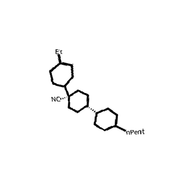 CCCCCC1CCC([C@H]2CC[C@](C#N)(C3CCC(CC)CC3)CC2)CC1